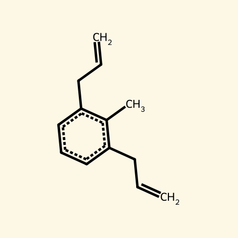 C=CCc1cccc(CC=C)c1C